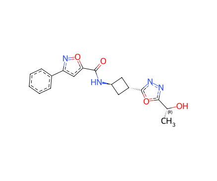 C[C@@H](O)c1nnc([C@H]2C[C@H](NC(=O)c3cc(-c4ccccc4)no3)C2)o1